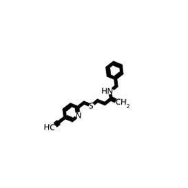 C#Cc1ccc(CSCCC(=C)NCc2ccccc2)nc1